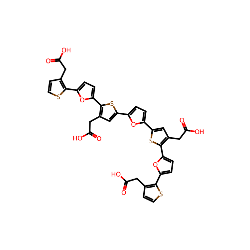 O=C(O)Cc1ccsc1-c1ccc(-c2sc(-c3ccc(-c4cc(CC(=O)O)c(-c5ccc(-c6sccc6CC(=O)O)o5)s4)o3)cc2CC(=O)O)o1